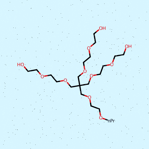 CCCOCCOCC(COCCOCCO)(COCCOCCO)COCCOCCO